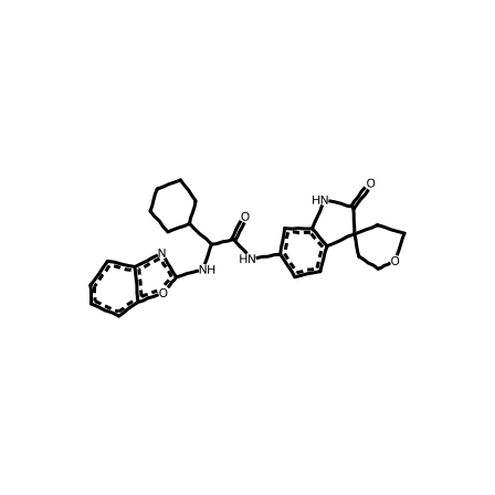 O=C(Nc1ccc2c(c1)NC(=O)C21CCOCC1)C(Nc1nc2ccccc2o1)C1CCCCC1